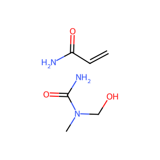 C=CC(N)=O.CN(CO)C(N)=O